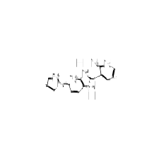 Nc1ncccc1-c1nc2nc(-n3cccn3)ccc2[nH]1